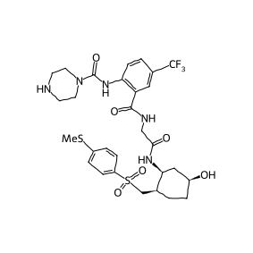 CSc1ccc(S(=O)(=O)C[C@@H]2CC[C@H](O)C[C@@H]2NC(=O)CNC(=O)c2cc(C(F)(F)F)ccc2NC(=O)N2CCNCC2)cc1